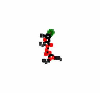 CCc1cc(S(F)(F)(F)(F)F)cc2c1OC(C(F)(F)F)C(C(=O)OCOC(=O)OC(CO[N+](=O)[O-])CO[N+](=O)[O-])=C2